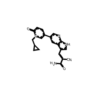 N#C/C(=C\c1c[nH]c2ncc(-c3ccc(=O)n(CC4CC4)c3)cc12)C(N)=O